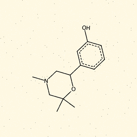 CN1CC(c2cccc(O)c2)OC(C)(C)C1